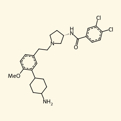 COc1ccc(CCN2CC[C@H](NC(=O)c3ccc(Cl)c(Cl)c3)C2)cc1C1CCC(N)CC1